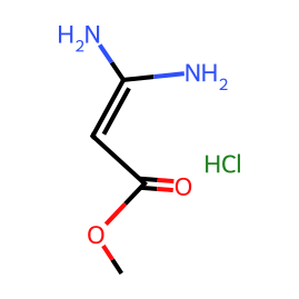 COC(=O)C=C(N)N.Cl